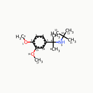 COc1ccc(C(C)(C)NC(C)(C)C)cc1OC